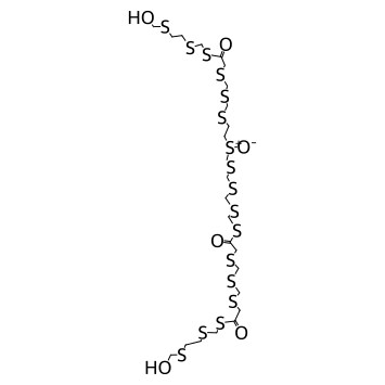 O=C(CSCSCSCC[S+]([O-])CSCSCSCSC(=O)CSCSCSCC(=O)SCSCCSCO)SCSCCSCO